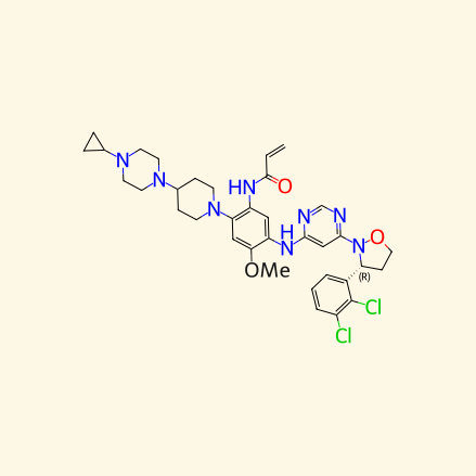 C=CC(=O)Nc1cc(Nc2cc(N3OCC[C@@H]3c3cccc(Cl)c3Cl)ncn2)c(OC)cc1N1CCC(N2CCN(C3CC3)CC2)CC1